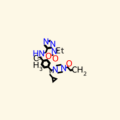 C=CC(=O)N1CCN([C@H](CC2CC2)c2ccc([C@H](C)NC3OC(=O)N(CC)c4ncncc43)cc2)CC1